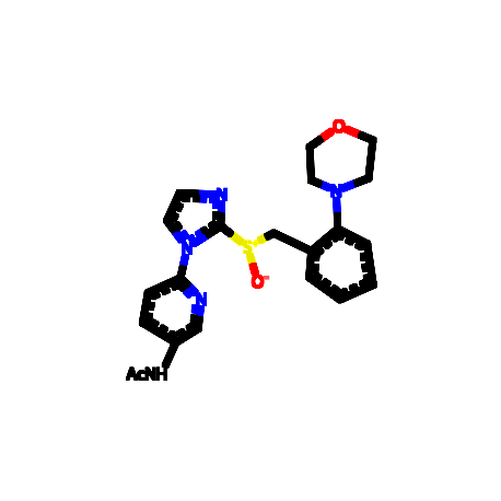 CC(=O)Nc1ccc(-n2ccnc2[S+]([O-])Cc2ccccc2N2CCOCC2)nc1